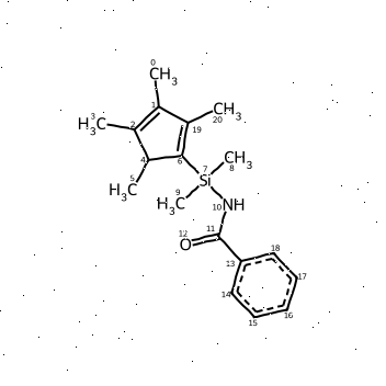 CC1=C(C)C(C)C([Si](C)(C)NC(=O)c2ccccc2)=C1C